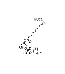 CCCCCCCC/C=C\CCCCCCCC(=O)O[C@H](CO)COP(=O)(O)OC(O)C[N+](C)(C)C